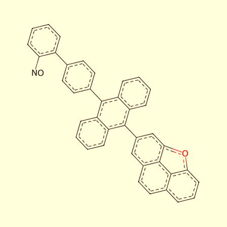 O=Nc1ccccc1-c1ccc(-c2c3ccccc3c(-c3cc4ccc5cccc6oc(c3)c4c56)c3ccccc23)cc1